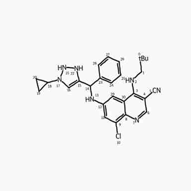 CC(C)(C)CNc1c(C#N)cnc2c(Cl)cc(NC(C3=CN(C4CC4)NN3)c3ccccc3)cc12